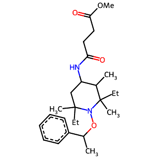 CCC1(C)CC(NC(=O)CCC(=O)OC)C(C)C(C)(CC)N1OC(C)c1ccccc1